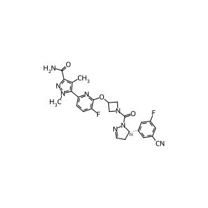 Cc1c(C(N)=O)nn(C)c1-c1ccc(F)c(OC2CN(C(=O)N3N=CC[C@H]3c3cc(F)cc(C#N)c3)C2)n1